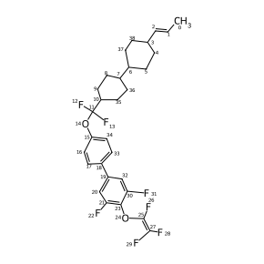 C/C=C/C1CCC(C2CCC(C(F)(F)Oc3ccc(-c4cc(F)c(OC(F)=C(F)F)c(F)c4)cc3)CC2)CC1